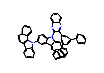 c1ccc(-c2cc(-c3ccccc3)cc(-c3nc4ccccc4nc3-n3c4ccc(-n5c6ccccc6c6ccc7ccccc7c65)cc4c4cc5ccccc5cc43)c2)cc1